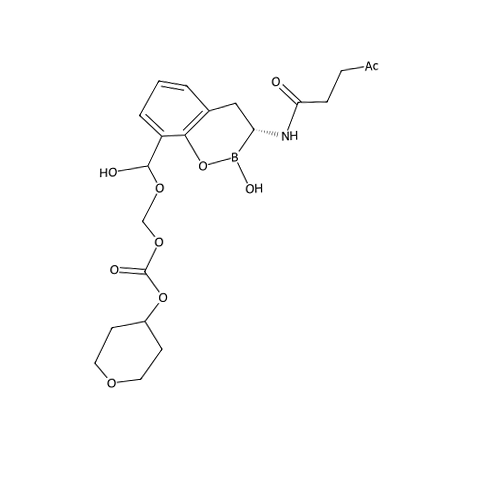 CC(=O)CCC(=O)N[C@H]1Cc2cccc(C(O)OCOC(=O)OC3CCOCC3)c2OB1O